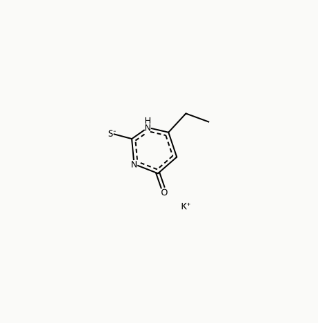 CCc1cc(=O)nc([S-])[nH]1.[K+]